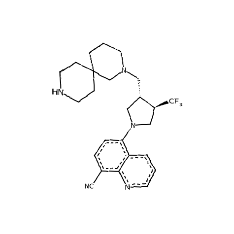 N#Cc1ccc(N2C[C@H](CN3CCCC4(CCNCC4)C3)[C@@H](C(F)(F)F)C2)c2cccnc12